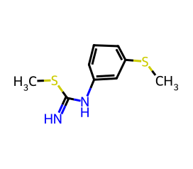 CSC(=N)Nc1cccc(SC)c1